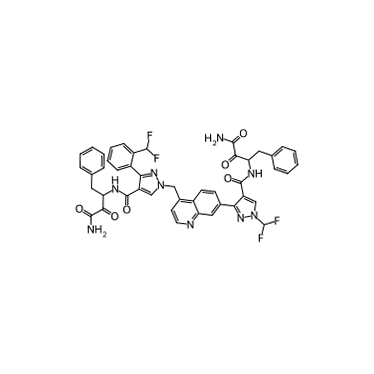 NC(=O)C(=O)C(Cc1ccccc1)NC(=O)c1cn(C(F)F)nc1-c1ccc2c(Cn3cc(C(=O)NC(Cc4ccccc4)C(=O)C(N)=O)c(-c4ccccc4C(F)F)n3)ccnc2c1